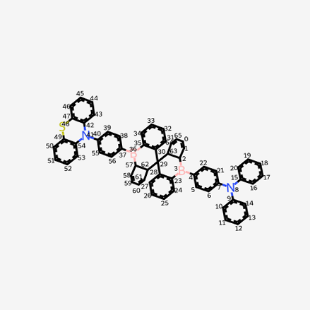 C1=CC2B(c3ccc(N(c4ccccc4)c4ccccc4)cc3)c3ccccc3C3(c4ccccc4B(c4ccc(N5c6ccccc6Sc6ccccc65)cc4)C4C=CC=CC43)C2C=C1